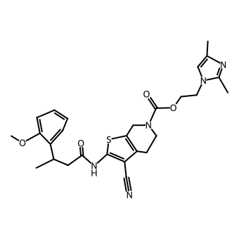 COc1ccccc1C(C)CC(=O)Nc1sc2c(c1C#N)CCN(C(=O)OCCn1cc(C)nc1C)C2